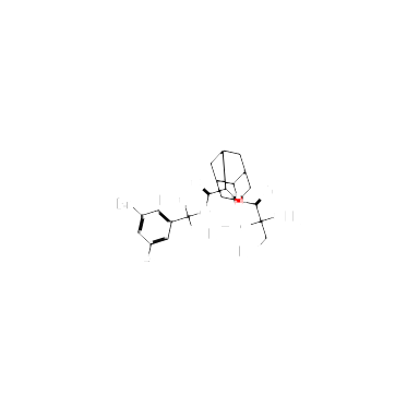 CCC(C)(C)C(=O)OC1C2CC3CC1CC(C2)C3C(=O)OC(C)(C)c1cc(Br)cc(Br)c1